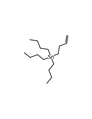 C=CC[CH2][Sn]([CH2]CCC)([CH2]CCC)[CH2]CCC